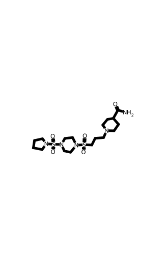 NC(=O)C1CCN(CCCS(=O)(=O)N2CCN(S(=O)(=O)N3CCCC3)CC2)CC1